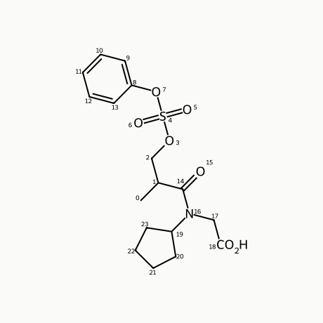 CC(COS(=O)(=O)Oc1ccccc1)C(=O)N(CC(=O)O)C1CCCC1